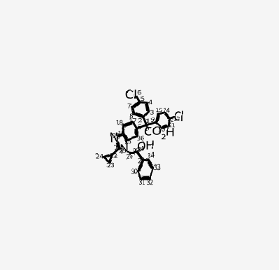 O=C(O)C(c1ccc(Cl)cc1)(c1ccc(Cl)cc1)c1ccc2nc(C3CC3)n(C[C@@H](O)c3ccccc3)c2c1